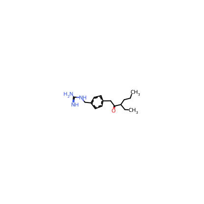 CCCC(CC)C(=O)Cc1ccc(CNC(=N)N)cc1